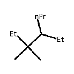 [CH2]CC(C)(C)C(CC)CCC